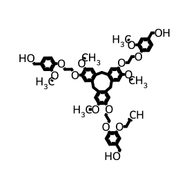 C#CCOc1cc(CO)ccc1OCCOc1cc2c(cc1OC)Cc1cc(OCCOc3ccc(CO)cc3OC)c(OC)cc1Cc1cc(OCCOc3ccc(CO)cc3OC)c(OC)cc1C2